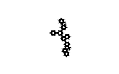 CC1(C)c2ccc(-c3ccc(-c4cc(-c5ccc6sc7ccccc7c6c5)nc(-c5ccccc5)n4)c4ccccc34)cc2-c2ccc3ccccc3c21